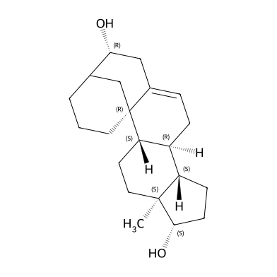 C[C@]12CC[C@H]3[C@@H](CC=C4C[C@@H](O)C5CCC[C@]43C5)[C@@H]1CC[C@@H]2O